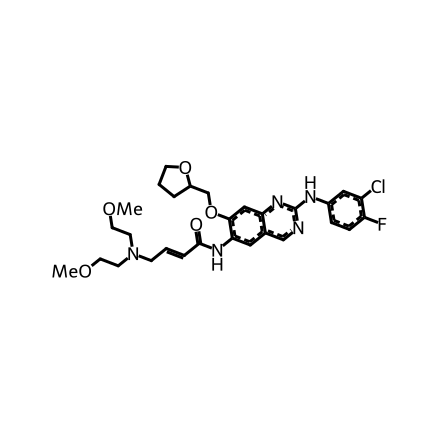 COCCN(CC=CC(=O)Nc1cc2cnc(Nc3ccc(F)c(Cl)c3)nc2cc1OCC1CCCO1)CCOC